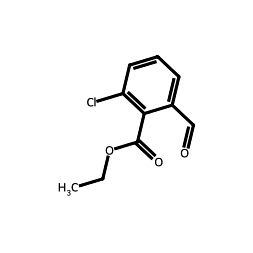 CCOC(=O)c1c(Cl)cccc1C=O